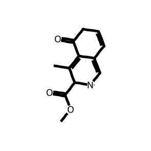 COC(=O)C1[N]C=C2C=CCC(=O)C2=C1C